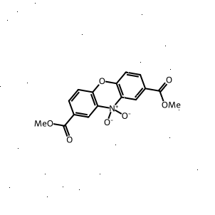 COC(=O)c1ccc2c(c1)[N+]([O-])([O-])c1cc(C(=O)OC)ccc1O2